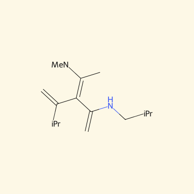 C=C(NCC(C)C)/C(C(=C)C(C)C)=C(\C)NC